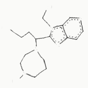 CCCC(c1nc2ccncc2n1CC)N1CCCN(C)CC1